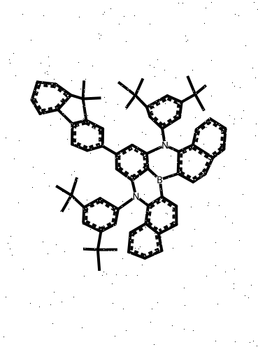 CC(C)(C)c1cc(N2c3cc(-c4ccc5c(c4)C(C)(C)c4ccccc4-5)cc4c3B(c3ccc5ccccc5c32)c2ccc3ccccc3c2N4c2cc(C(C)(C)C)cc(C(C)(C)C)c2)cc(C(C)(C)C)c1